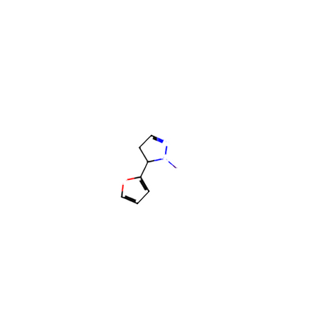 IN1N=CCC1c1ccco1